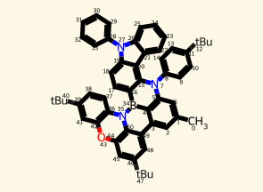 Cc1cc2c3c(c1)N(c1ccc(C(C)(C)C)cc1)c1c(ccc4c1c1ccccc1n4-c1ccccc1)B3N1c3ccc(C(C)(C)C)cc3Oc3cc(C(C)(C)C)cc-2c31